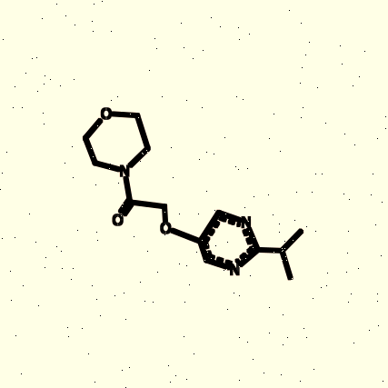 CC(C)c1ncc(OCC(=O)N2CCOCC2)cn1